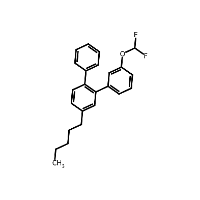 CCCCCc1ccc(-c2ccccc2)c(-c2cccc(OC(F)F)c2)c1